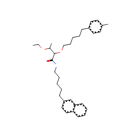 N#Cc1ccc(CCCCCOC(C(=O)NCCCCCc2ccc3ccccc3c2)C(OCC(=O)O)C(=O)O)cc1